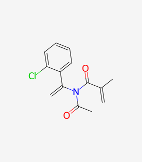 C=C(C)C(=O)N(C(=C)c1ccccc1Cl)C(C)=O